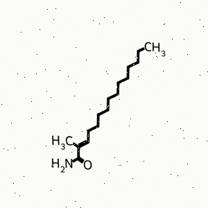 CCCCCCCCCCCC/C=C(\C)C(N)=O